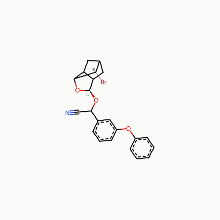 N#CC(O[C@H]1OC2C3CC(CC31)[C@@H]2Br)c1cccc(Oc2ccccc2)c1